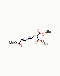 COC(=O)/C=C/C=C/CC(C(=O)OC(C)(C)C)C(=O)OC(C)(C)C